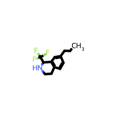 CCCc1ccc2c(c1)C(C(F)(F)F)NCC2